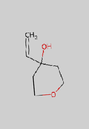 C=CC1(O)CCOCC1